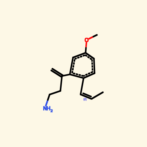 C=C(CCN)c1cc(OC)ccc1/C=C\C